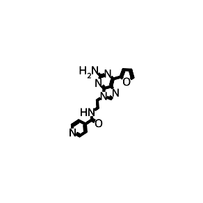 Nc1nc(-c2ccco2)c2ncn(CCNC(=O)c3ccncc3)c2n1